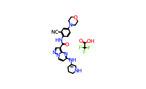 N#Cc1cc(N2CCOCC2)ccc1NC(=O)c1cnn2ccc(N[C@@H]3CCCNC3)nc12.O=C(O)C(F)(F)F